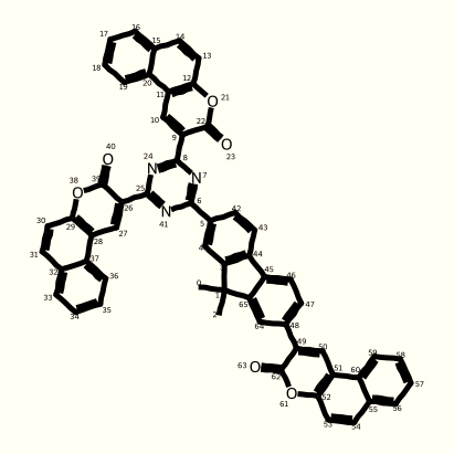 CC1(C)c2cc(-c3nc(-c4cc5c(ccc6ccccc65)oc4=O)nc(-c4cc5c(ccc6ccccc65)oc4=O)n3)ccc2-c2ccc(-c3cc4c(ccc5ccccc54)oc3=O)cc21